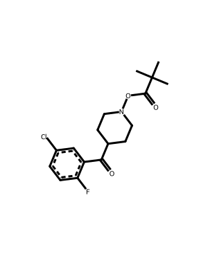 CC(C)(C)C(=O)ON1CCC(C(=O)c2cc(Cl)ccc2F)CC1